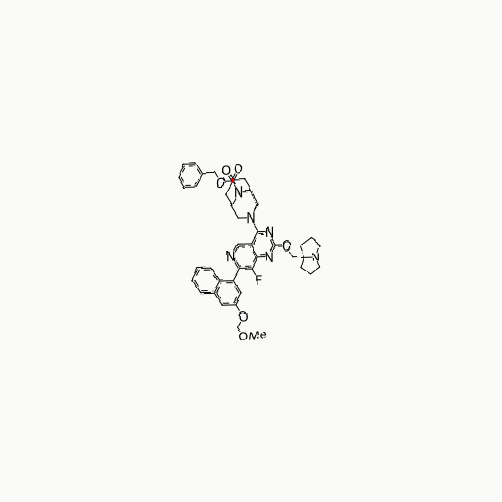 COCOc1cc(-c2ncc3c(N4CC5CC(=O)CC(C4)N5C(=O)OCc4ccccc4)nc(OCC45CCCN4CCC5)nc3c2F)c2ccccc2c1